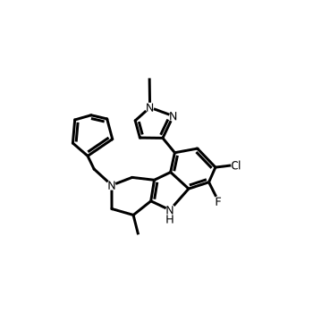 CC1CN(Cc2ccccc2)Cc2c1[nH]c1c(F)c(Cl)cc(-c3ccn(C)n3)c21